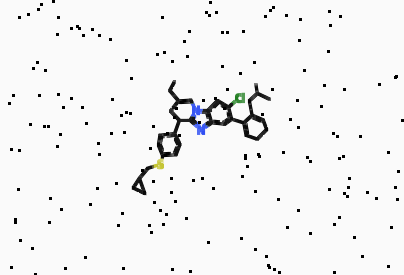 CCC1=Cn2c(nc3cc(C4=CCCC=C4CC(C)C)c(Cl)cc32)C(c2ccc(SCC3CC3)cc2)C1